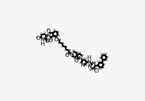 O=C1CCC(N2C(=O)c3cccc(OCCCCCCCC(=O)N4CCC5(CC4)CCN(c4cncc(Nc6ncc(Cl)c(-c7cccc(-c8ccccc8)c7)n6)c4)C5=O)c3C2=O)C(=O)N1